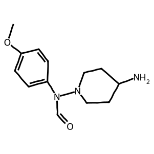 COc1ccc(N(C=O)N2CCC(N)CC2)cc1